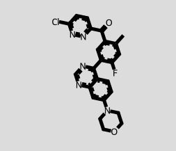 Cc1cc(F)c(-c2ncnc3cc(N4CCOCC4)ccc23)cc1C(=O)c1ccc(Cl)nn1